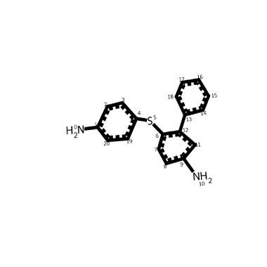 Nc1ccc(Sc2ccc(N)cc2-c2ccccc2)cc1